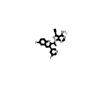 C#Cc1nn(C(C)c2nc3ccc(F)cc3cc2-c2cncc(F)c2)c2ncnc(N)c12